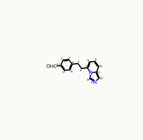 O=Cc1ccc(CCc2cccc3cncn23)cc1